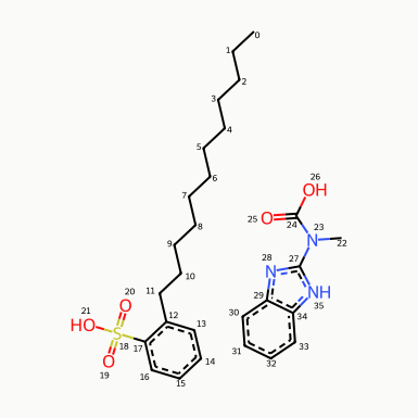 CCCCCCCCCCCCc1ccccc1S(=O)(=O)O.CN(C(=O)O)c1nc2ccccc2[nH]1